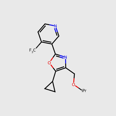 CC(C)OCc1nc(-c2cnccc2C(F)(F)F)oc1C1CC1